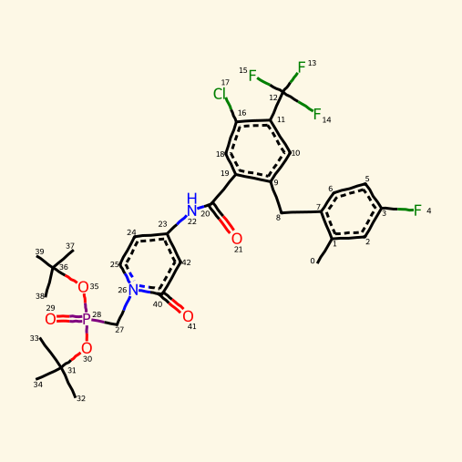 Cc1cc(F)ccc1Cc1cc(C(F)(F)F)c(Cl)cc1C(=O)Nc1ccn(CP(=O)(OC(C)(C)C)OC(C)(C)C)c(=O)c1